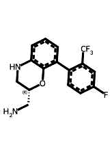 NC[C@@H]1CNc2cccc(-c3ccc(F)cc3C(F)(F)F)c2O1